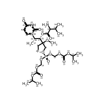 COC(CF)(COP(=O)(OCOC(=O)OC(C)C)OCOC(=O)OC(C)C)[C@@H](OC(=O)C(N)C(C)C)[C@H](C)n1ccc(=O)[nH]c1=O